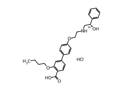 CCCCOc1cc(-c2ccc(OCCNC[C@H](O)c3ccccc3)cc2)ccc1C(=O)O.Cl